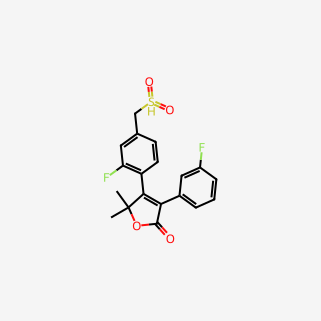 CC1(C)OC(=O)C(c2cccc(F)c2)=C1c1ccc(C[SH](=O)=O)cc1F